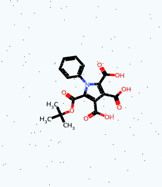 CC(C)(C)OC(=O)c1c(C(=O)O)c(C(=O)O)c(C(=O)O)n1-c1ccccc1